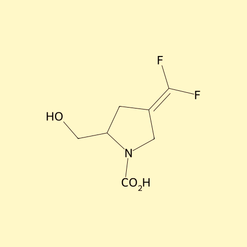 O=C(O)N1CC(=C(F)F)CC1CO